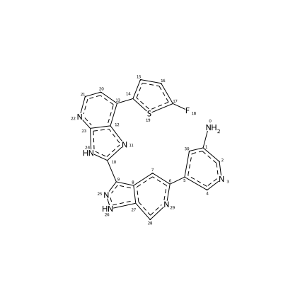 Nc1cncc(-c2cc3c(-c4nc5c(-c6ccc(F)s6)ccnc5[nH]4)n[nH]c3cn2)c1